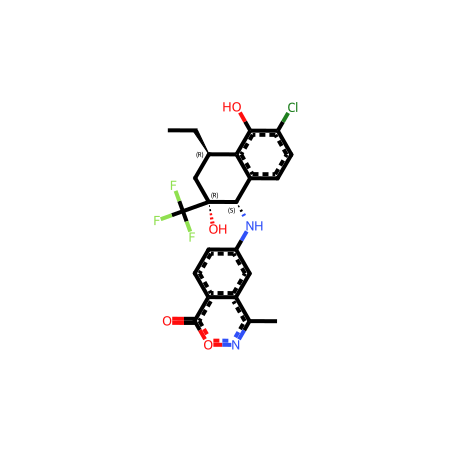 CC[C@@H]1C[C@](O)(C(F)(F)F)[C@@H](Nc2ccc3c(=O)onc(C)c3c2)c2ccc(Cl)c(O)c21